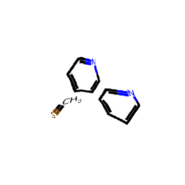 C=S.c1ccncc1.c1ccncc1